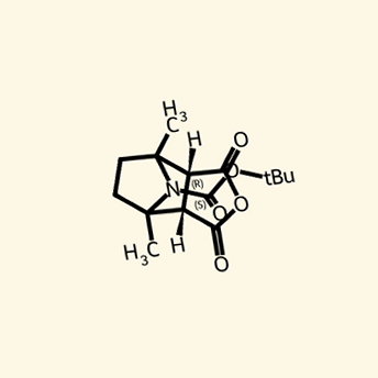 CC(C)(C)OC(=O)N1C2(C)CCC1(C)[C@H]1C(=O)OC(=O)[C@H]12